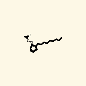 CCCCCCCCCc1ccccc1OOC(C)=O